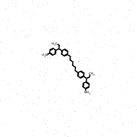 CCC(c1ccc(N)cc1)c1ccc(CCCCCCc2ccc(C(CC)c3ccc(N)cc3)cc2)cc1